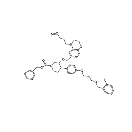 COCCCN1CCOc2ccc(COC3CN(C(=O)OCc4ccccc4)CCC3c3ccc(OCCCOCc4ccccc4F)cc3)cc21